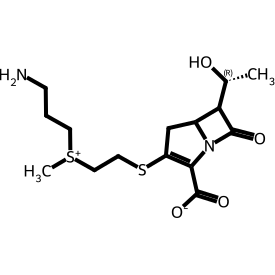 C[C@@H](O)C1C(=O)N2C(C(=O)[O-])=C(SCC[S+](C)CCCN)CC12